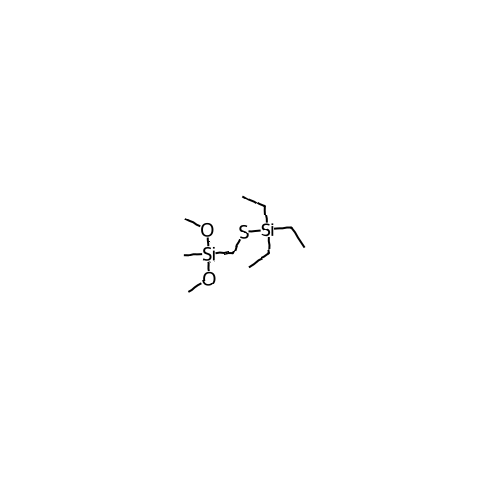 CC[Si](CC)(CC)SC[Si](C)(OC)OC